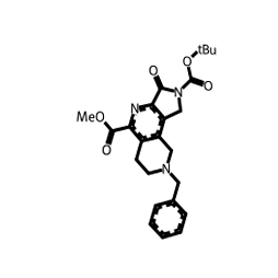 COC(=O)c1nc2c(c3c1CCN(Cc1ccccc1)C3)CN(C(=O)OC(C)(C)C)C2=O